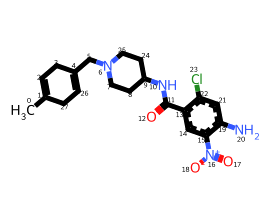 CC1=CCC(CN2CCC(NC(=O)c3cc([N+](=O)[O-])c(N)cc3Cl)CC2)=CC1